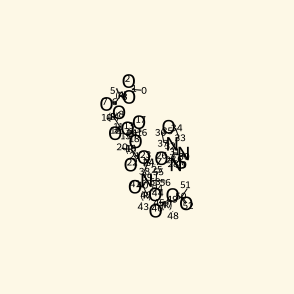 CC(=O)O[C@H](C)C(=O)O[C@H](C)C(=O)O[C@@](C)(C=O)O[C@H](C)C(=O)O[C@H](COc1nsnc1N1CCOCC1)CN(C(=O)[C@@H](C)OC(=O)[C@@H](C)OC(C)=O)C(C)(C)C